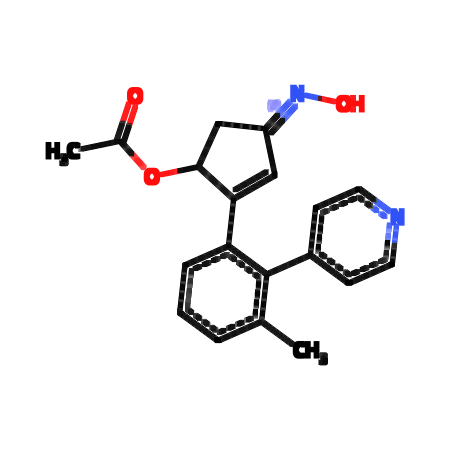 CC(=O)OC1C/C(=N/O)C=C1c1cccc(C)c1-c1ccncc1